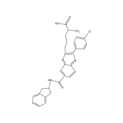 CC(CCCc1nc2cc(C(=O)NC3Cc4ccccc4C3)ccc2nc1-c1ccc(Cl)cc1)C(=O)O